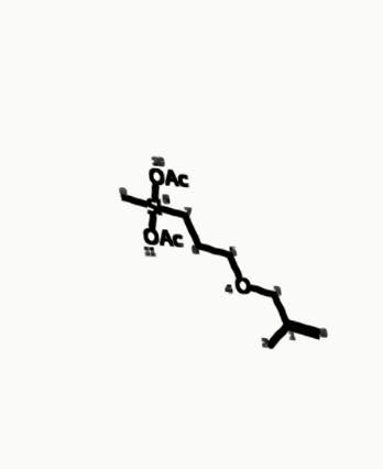 C=C(C)COCCC[Si](C)(OC(C)=O)OC(C)=O